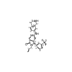 C=CCn1c(=O)c2cnc(Nc3ccc4c(c3)CNCC4)nc2n1-c1ccnc(C(C)(F)F)c1